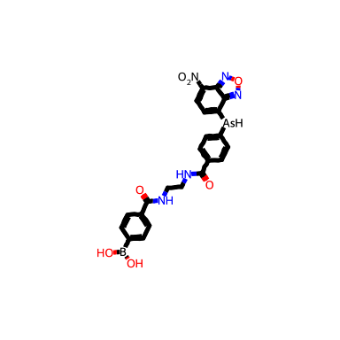 O=C(NCCNC(=O)c1ccc(B(O)O)cc1)c1ccc([AsH]c2ccc([N+](=O)[O-])c3nonc23)cc1